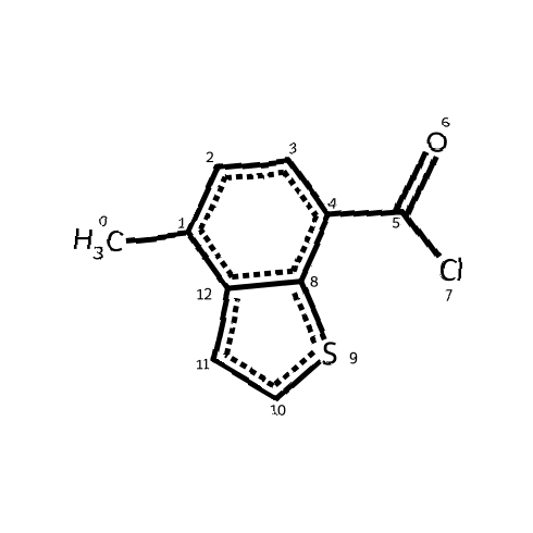 Cc1ccc(C(=O)Cl)c2sccc12